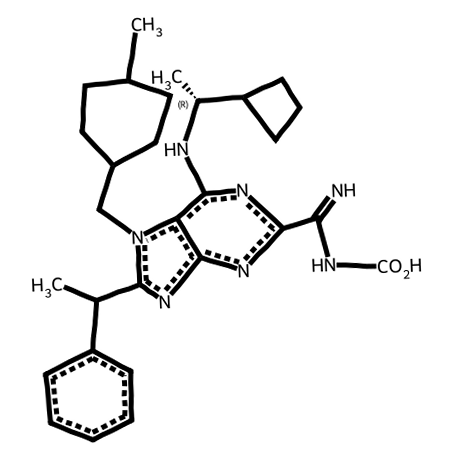 CC1CCC(Cn2c(C(C)c3ccccc3)nc3nc(C(=N)NC(=O)O)nc(N[C@H](C)C4CCC4)c32)CC1